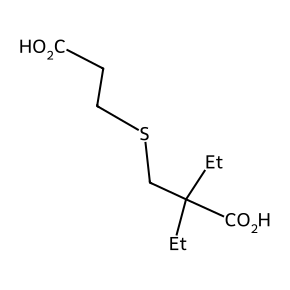 CCC(CC)(CSCCC(=O)O)C(=O)O